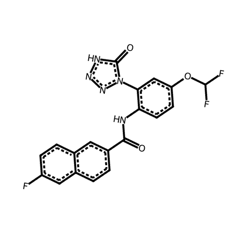 O=C(Nc1ccc(OC(F)F)cc1-n1nn[nH]c1=O)c1ccc2cc(F)ccc2c1